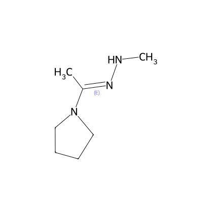 CN/N=C(\C)N1CCCC1